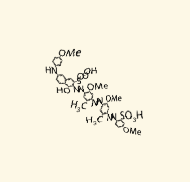 COc1ccc(Nc2ccc3c(O)c(N=Nc4cc(C)c(N=Nc5cc(C)c(N=Nc6ccc(OC)cc6S(=O)(=O)O)cc5OC)cc4OC)c(SOOO)cc3c2)cc1